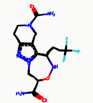 NC(=O)C1Cn2nc3c(c2C(CC(F)(F)F)NO1)CN(C(N)=O)CC3